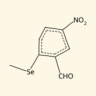 C[Se]c1ccc([N+](=O)[O-])cc1C=O